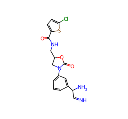 N=CC(N)c1cccc(N2CC(CNC(=O)c3ccc(Cl)s3)OC2=O)c1